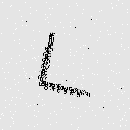 [H+].[H+].[H+].[H+].[H+].[H+].[H+].[H+].[H+].[H+].[H+].[H+].[LiH].[LiH].[O-]B([O-])[O-].[O-]B([O-])[O-].[O-]B([O-])[O-].[O-]B([O-])[O-].[O-]B([O-])[O-].[O-]B([O-])[O-].[O-]B([O-])[O-].[O-]B([O-])[O-].[O-]B([O-])[O-].[O-]B([O-])[O-].[O-]B([O-])[O-].[O-]B([O-])[O-]